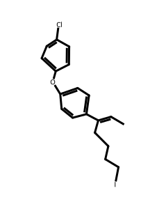 CC=C(CCCCI)c1ccc(Oc2ccc(Cl)cc2)cc1